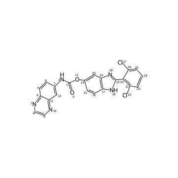 O=C(Nc1ccc2nccnc2c1)Oc1ccc2[nH]c(-c3c(Cl)cccc3Cl)nc2c1